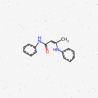 CC(=CC(=O)Nc1ccccc1)Nc1ccccc1